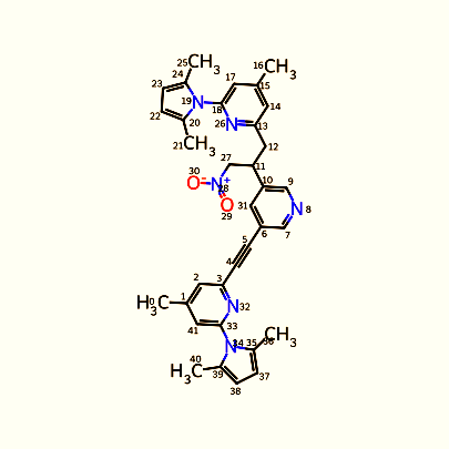 Cc1cc(C#Cc2cncc(C(Cc3cc(C)cc(-n4c(C)ccc4C)n3)C[N+](=O)[O-])c2)nc(-n2c(C)ccc2C)c1